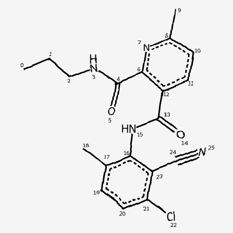 CCCNC(=O)c1nc(C)ccc1C(=O)Nc1c(C)ccc(Cl)c1C#N